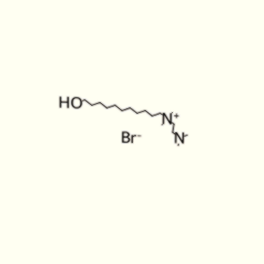 CN(C)CC[N+](C)(C)CCCCCCCCCCCO.[Br-]